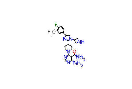 NC(=O)c1c(N)ncnc1N1CCC(c2nc(-c3ccc(F)c(C(F)(F)F)c3)cn2C2CNC2)CC1